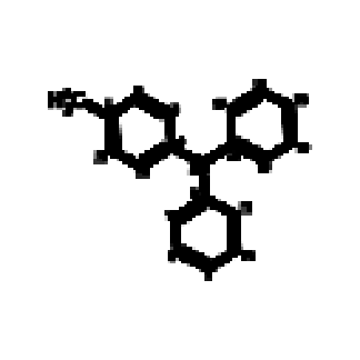 Cc1ccc(N(c2cc[c]cc2)c2ccccc2)cc1